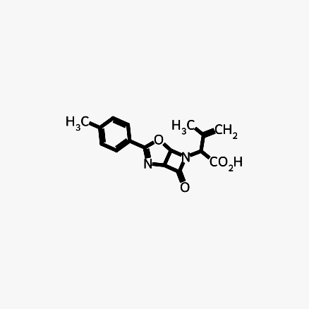 C=C(C)C(C(=O)O)N1C(=O)C2N=C(c3ccc(C)cc3)OC21